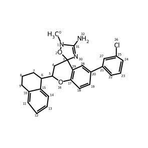 CN1OC2(CC(C3CCCc4ccccc43)Oc3ccc(-c4cccc(Cl)c4)cc32)N=C1N